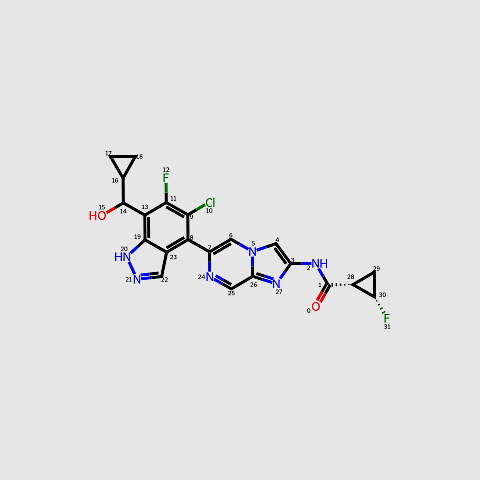 O=C(Nc1cn2cc(-c3c(Cl)c(F)c(C(O)C4CC4)c4[nH]ncc34)ncc2n1)[C@@H]1C[C@@H]1F